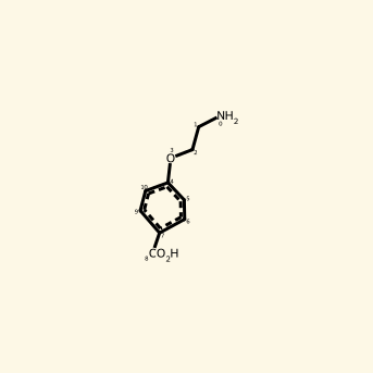 NCCOc1ccc(C(=O)O)cc1